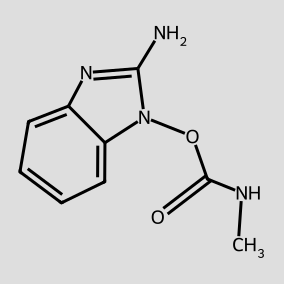 CNC(=O)On1c(N)nc2ccccc21